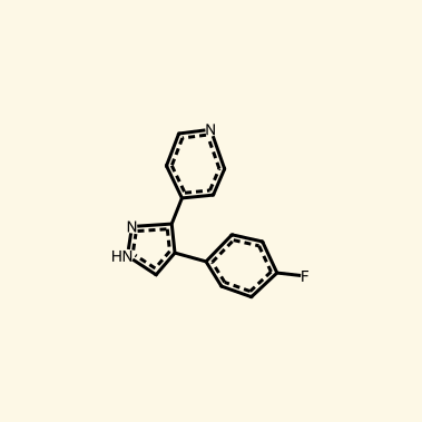 Fc1ccc(-c2c[nH]nc2-c2ccncc2)cc1